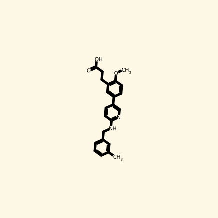 COc1ccc(-c2ccc(NCc3cccc(C)c3)nc2)cc1CCC(=O)O